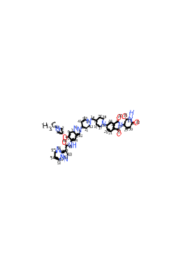 CN1CC(Oc2cc3nn(C4CCN(CC5CCN(c6ccc7c(c6)C(=O)N(C6CCC(=O)NC6=O)C7=O)CC5)CC4)cc3cc2NC(=O)c2cnn3cccnc23)C1